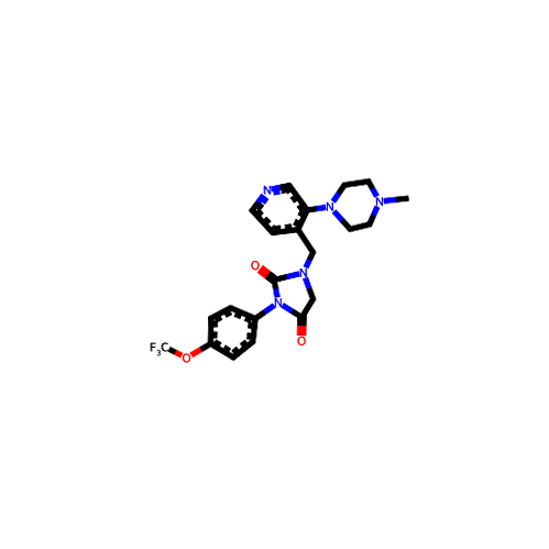 CN1CCN(c2cnccc2CN2CC(=O)N(c3ccc(OC(F)(F)F)cc3)C2=O)CC1